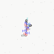 CC(=O)N(NCc1cccc(F)c1Cl)[C@H](COC(=O)Nc1cc2cc(F)ccc2cn1)CC(=O)NCCNC(=O)OC(C)(C)C